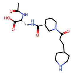 CC(=O)N[C@H](CNC(=O)[C@@H]1CCCN(C(=O)CCC2CCNCC2)C1)C(=O)O